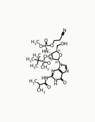 COP(=O)(N[C@H]1[C@@H](O[Si](C)(C)C(C)(C)C)[C@H](n2cnc3c(=O)[nH]c(NC(=O)C(C)C)nc32)O[C@@H]1CO)OCCC#N